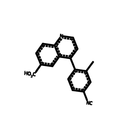 [C-]#[N+]c1ccc(-c2ccnc3ccc(C(=O)O)cc23)c(C)c1